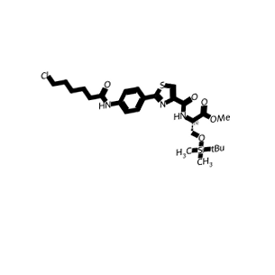 COC(=O)[C@H](CO[Si](C)(C)C(C)(C)C)NC(=O)c1csc(-c2ccc(NC(=O)CCCCCCl)cc2)n1